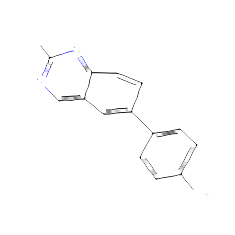 CC(C)(C)c1ccc(-c2ccc3nc(C(C)(C)C)ncc3c2)cc1